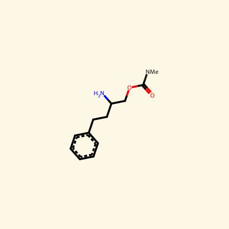 CNC(=O)OCC(N)CCc1ccccc1